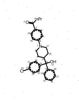 CCCC(=O)c1ccc(N2CCC(C(O)(c3ccccc3)c3ccc(Cl)cc3)CC2)cc1